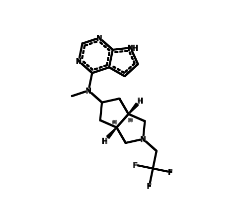 CN(c1ncnc2[nH]ccc12)C1C[C@@H]2CN(CC(F)(F)F)C[C@@H]2C1